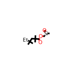 CCC(C)(C)CC(C)(C)C(=O)OC[Si](C)=O